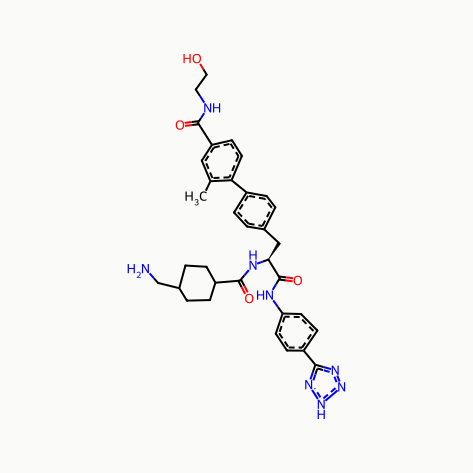 Cc1cc(C(=O)NCCO)ccc1-c1ccc(C[C@H](NC(=O)C2CCC(CN)CC2)C(=O)Nc2ccc(-c3nn[nH]n3)cc2)cc1